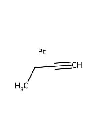 C#CCC.[Pt]